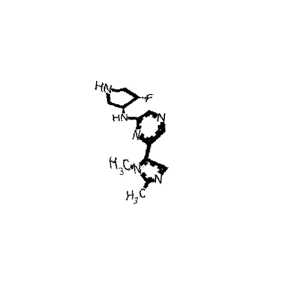 Cc1ncc(-c2cncc(N[C@H]3CNC[C@@H]3F)n2)n1C